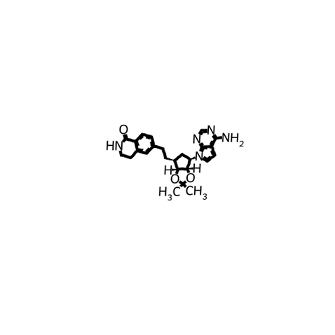 CC1(C)O[C@@H]2[C@@H](CCc3ccc4c(c3)CCNC4=O)C[C@@H](n3ccc4c(N)ncnc43)[C@@H]2O1